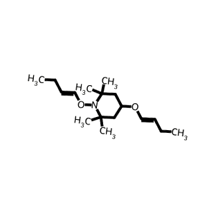 CCC=COC1CC(C)(C)N(OC=CCC)C(C)(C)C1